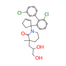 CC1(CC(O)CO)CCCN(C2(c3cccc(Cl)c3-c3cccc(Cl)c3)C=CCC2)C1=O